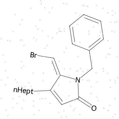 CCCCCCCC1=CC(=O)N(Cc2ccccc2)C1=CBr